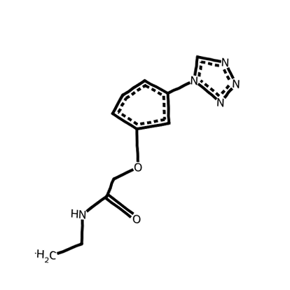 [CH2]CNC(=O)COc1cccc(-n2cnnn2)c1